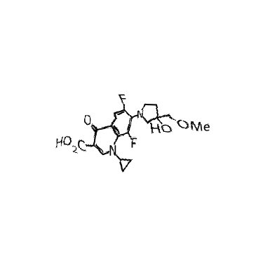 COCC1(O)CCN(c2c(F)cc3c(=O)c(C(=O)O)cn(C4CC4)c3c2F)C1